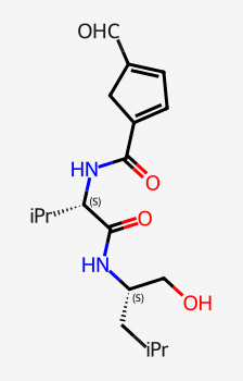 CC(C)C[C@@H](CO)NC(=O)[C@@H](NC(=O)C1=CC=C(C=O)C1)C(C)C